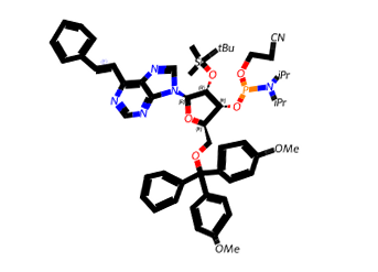 COc1ccc(C(OC[C@H]2O[C@@H](n3cnc4c(/C=C/c5ccccc5)ncnc43)[C@H](O[Si](C)(C)C(C)(C)C)[C@@H]2OP(OCCC#N)N(C(C)C)C(C)C)(c2ccccc2)c2ccc(OC)cc2)cc1